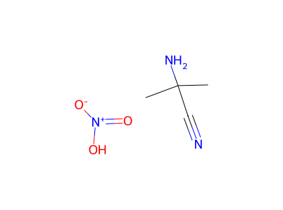 CC(C)(N)C#N.O=[N+]([O-])O